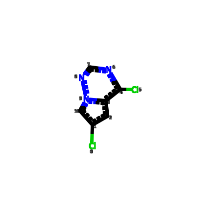 Clc1cc2c(Cl)ncnn2c1